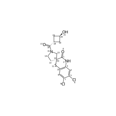 O=C1Nc2cc(Cl)c(Cl)cc2S[C@]12CCN(C(=O)[C@H]1C[C@H](O)C1)C2